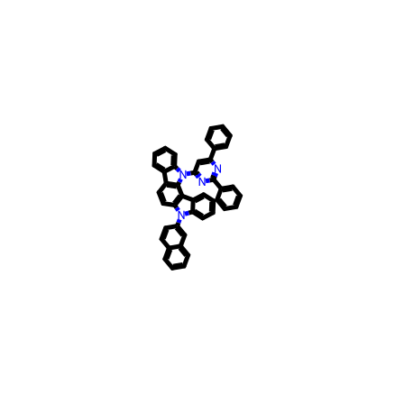 c1ccc(-c2cc(-n3c4ccccc4c4ccc5c(c6ccccc6n5-c5ccc6ccccc6c5)c43)nc(-c3ccccc3)n2)cc1